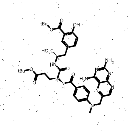 CN(Cc1cnc2nc(N)nc(N)c2n1)c1ccc(C(=O)N[C@@H](CCC(=O)OC(C)(C)C)C(=O)N[C@@H](Cc2ccc(O)c(C(=O)OC(C)(C)C)c2)C(=O)O)cc1